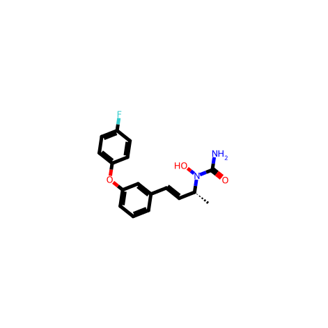 C[C@H](C=Cc1cccc(Oc2ccc(F)cc2)c1)N(O)C(N)=O